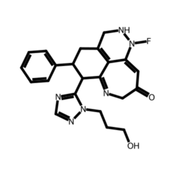 O=C1C=C2C3=C(CNN2F)CC(c2ccccc2)C(c2ncnn2CCCO)C3=NC1